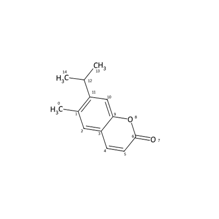 Cc1cc2ccc(=O)oc2cc1C(C)C